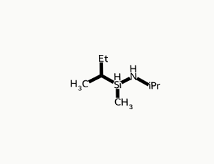 CCC(C)[SiH](C)NC(C)C